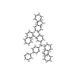 c1ccc(-c2ccc(N(c3ccc(-c4ccc5c(c4)sc4ccccc45)c(-c4cccc5ccccc45)c3)c3cccc4c3oc3ccccc34)cc2)cc1